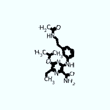 [CH2]C(=O)NCCc1cccc(Nc2nc(OC(C)C)c(CC)nc2C(N)=O)c1